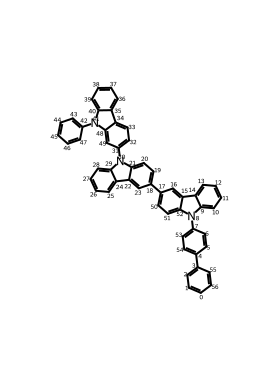 c1ccc(-c2ccc(-n3c4ccccc4c4cc(-c5ccc6c(c5)c5ccccc5n6-c5ccc6c7ccccc7n(-c7ccccc7)c6c5)ccc43)cc2)cc1